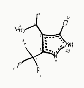 CC(O)c1c(C(F)(F)F)n[nH]c1Cl